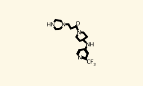 O=C(CCN1CCNCC1)N1CCC(Nc2ccnc(C(F)(F)F)c2)CC1